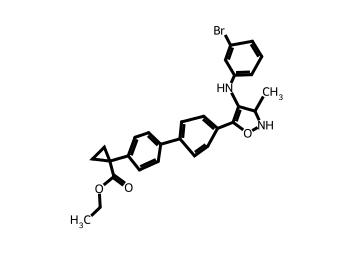 CCOC(=O)C1(c2ccc(-c3ccc(C4=C(Nc5cccc(Br)c5)C(C)NO4)cc3)cc2)CC1